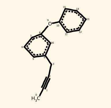 CC#C[CH]c1cccc(Oc2ccccc2)c1